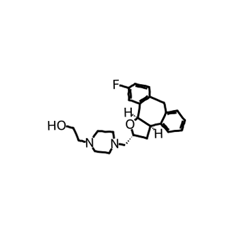 OCCN1CCN(C[C@H]2C[C@@H]3c4ccccc4Cc4ccc(F)cc4[C@@H]3O2)CC1